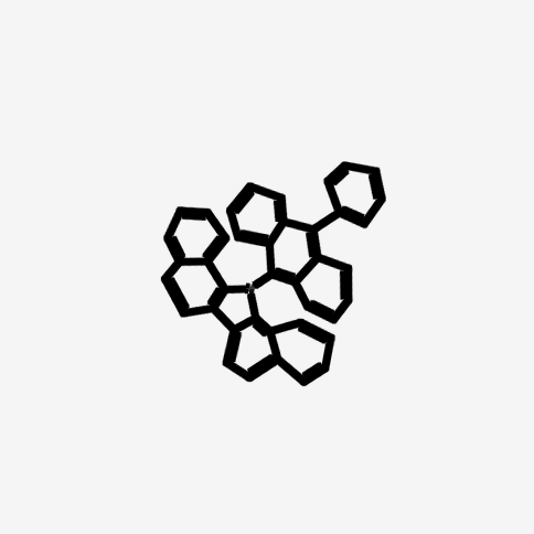 c1ccc(-c2c3ccccc3c(-n3c4c5ccccc5ccc4c4ccc5ccccc5c43)c3ccccc23)cc1